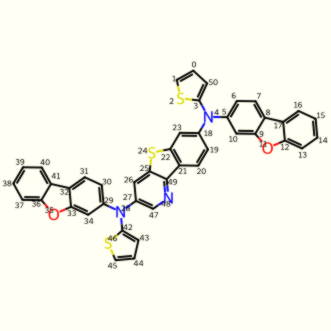 c1csc(N(c2ccc3c(c2)oc2ccccc23)c2ccc3c(c2)sc2cc(N(c4ccc5c(c4)oc4ccccc45)c4cccs4)cnc23)c1